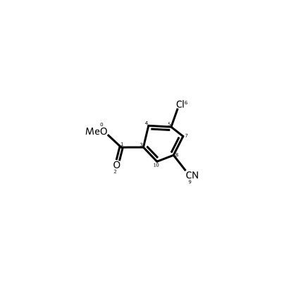 COC(=O)c1cc(Cl)cc(C#N)c1